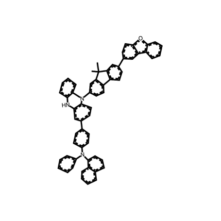 CC1(C)c2cc(-c3ccc4oc5ccccc5c4c3)ccc2-c2ccc(N3c4ccccc4Nc4cc(-c5ccc(N(c6ccccc6)c6cccc7ccccc67)cc5)ccc43)cc21